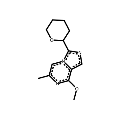 COc1nc(C)cn2c(C3CCCCO3)ncc12